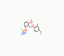 CCc1ccc(OCc2c(OC)cccc2OC(=S)NC)c(C)c1